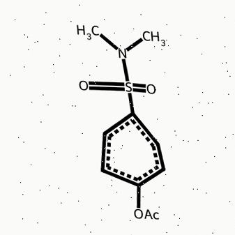 CC(=O)Oc1ccc(S(=O)(=O)N(C)C)cc1